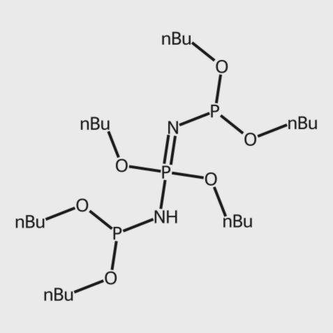 CCCCOP(N=P(NP(OCCCC)OCCCC)(OCCCC)OCCCC)OCCCC